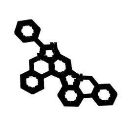 c1ccc(-c2nc3cc4c(c5c3n2Cc2ccccc2-5)c2cccc3c2n4Cc2ccccc2-3)cc1